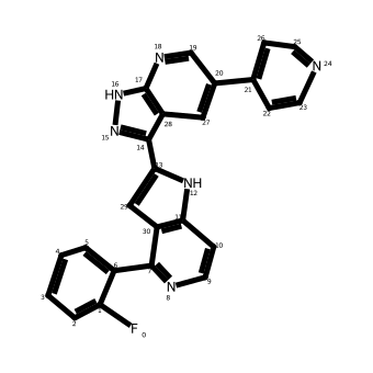 Fc1ccccc1-c1nccc2[nH]c(-c3n[nH]c4ncc(-c5ccncc5)cc34)cc12